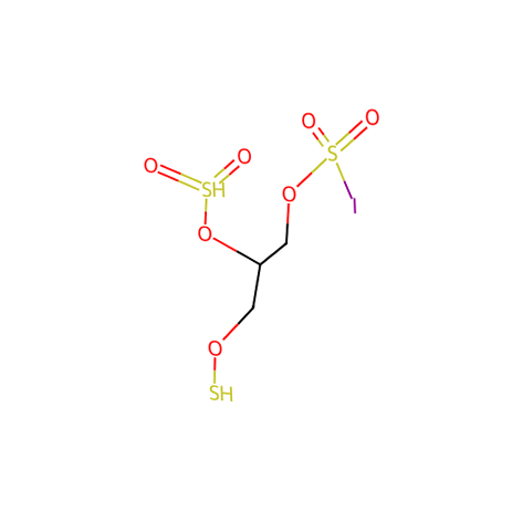 O=[SH](=O)OC(COS)COS(=O)(=O)I